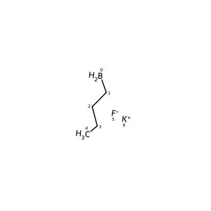 BCCCC.[F-].[K+]